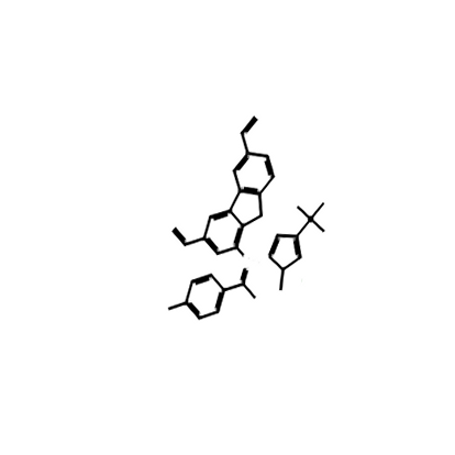 C=Cc1ccc2c(c1)-c1cc(C=C)c[c](/[Zr+2]([C]3=CC(C(C)(C)C)=CC3C)=[C](/C)c3ccc(C)cc3)c1C2.[Cl-].[Cl-]